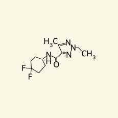 CCn1nc(C)c(C(=O)NC2CCC(F)(F)CC2)n1